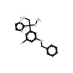 CCC(OC)(c1cc(F)cc(OCc2ccccc2)c1)c1nccs1